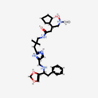 CC(C)(CNC(=O)CC(CN(O)C=O)C1CCCC1)Cc1ncc(CNC(Cc2ccccc2)C2=COCO2)[nH]1